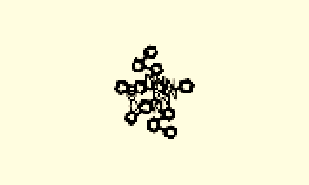 C1=CC(c2ccccc2-c2cccc3c2n2c4cc5c(cc4c4c2n3-c2nc(-c3ccccc3)nc3c2B4c2c4cc6oc7ccccc7c6cc4n4c6c(-c7ccccc7-c7ccccc7)cccc6n-3c24)oc2ccccc25)=CCC1